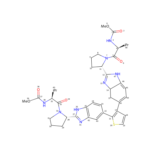 COC(=O)N[C@H](C(=O)N1CCC[C@H]1C1=NC2CC(c3ccsc3-c3ccc4[nH]c([C@@H]5CCCN5C(=O)[C@@H](NC(=O)OC)C(C)C)nc4c3)=CC=C2N1)C(C)C